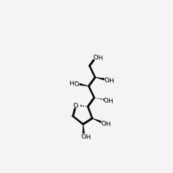 OC[C@@H](O)[C@H](O)[C@H](O)[C@H]1O[CH][C@H](O)[C@@H]1O